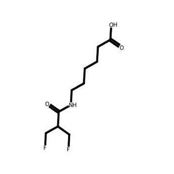 O=C(O)CCCCCNC(=O)C(CF)CF